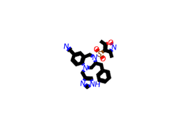 Cc1noc(C)c1S(=O)(=O)N1Cc2cc(C#N)ccc2N(Cc2c[nH]cn2)CC1Cc1ccccc1